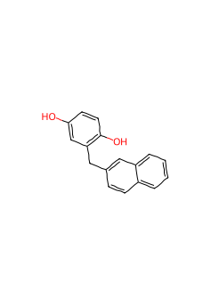 Oc1ccc(O)c(Cc2ccc3ccccc3c2)c1